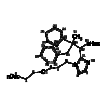 CCCCCCCCCCCCCCCCn1ccnc1C(CCCCCC)C(C)(Cc1ccccc1)c1ccccc1